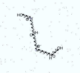 O=C(NCSCSCSC/N=C\[S+]([O-])CSCSCSC(=O)NCSCSCSC/N=C\[S+]([O-])CSCO)SCSCO